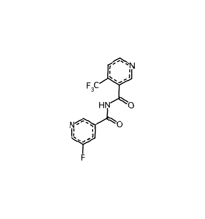 O=C(NC(=O)c1cnccc1C(F)(F)F)c1cncc(F)c1